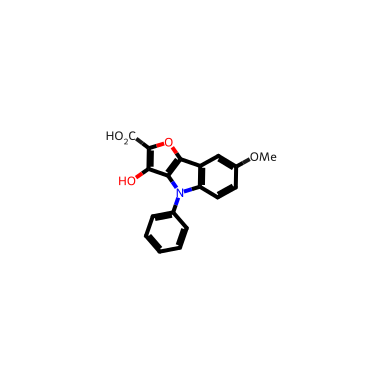 COc1ccc2c(c1)c1oc(C(=O)O)c(O)c1n2-c1ccccc1